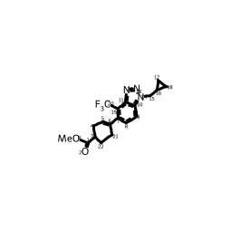 COC(=O)C1CC=C(c2ccc3c(nnn3CC3CC3)c2C(F)(F)F)CC1